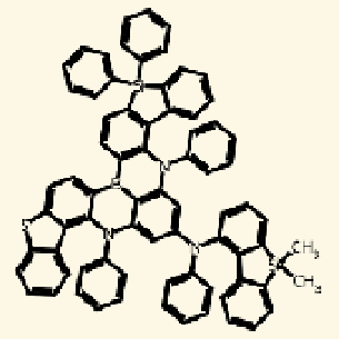 C[Si]1(C)c2ccccc2-c2c(N(c3ccccc3)c3cc4c5c(c3)N(c3ccccc3)c3c(ccc6sc7ccccc7c36)B5c3ccc5c(c3N4c3ccccc3)-c3ccccc3[Si]5(c3ccccc3)c3ccccc3)cccc21